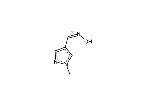 Cn1cc(/C=N\O)cn1